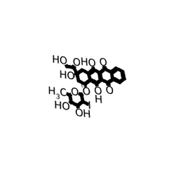 CC1OC(O[C@H]2C[C@](O)(C(=O)CO)Cc3c(O)c4c(c(O)c32)C(=O)c2ccccc2C4=O)C(I)C(O)C1O